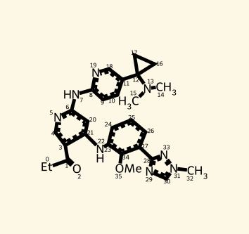 CCC(=O)c1cnc(Nc2ccc(C3(N(C)C)CC3)cn2)cc1Nc1cccc(-c2ncn(C)n2)c1OC